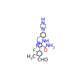 Cc1c(C=O)ccc(-c2nn3c(c2C(N)=O)Nc2ccc(N4CCNCC4)cc2CC3)c1F